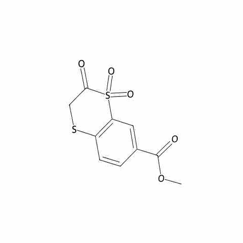 COC(=O)c1ccc2c(c1)S(=O)(=O)C(=O)CS2